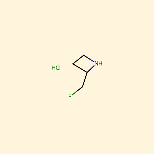 Cl.FCC1CCN1